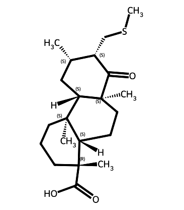 CSC[C@@H]1C(=O)[C@@]2(C)CC[C@H]3[C@@](C)(CCC[C@@]3(C)C(=O)O)[C@@H]2C[C@@H]1C